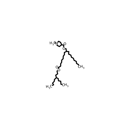 CCCCCCCCCCC(CCCCCCCCC(=O)OCCCC(CCCCC)CCCCC)COC(=O)C1CCN(C)CC1